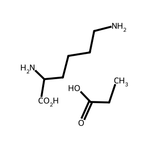 CCC(=O)O.NCCCCC(N)C(=O)O